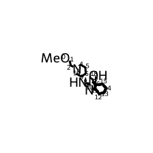 COCCN1CCCC(Nc2nc3ccccc3n2O)C1